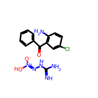 N=C(N)N/N=[N+](\[O-])O.Nc1ccc(Cl)cc1C(=O)c1ccccc1